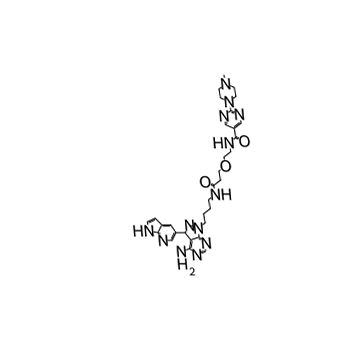 CN1CCN(c2ncc(C(=O)NCCOCCC(=O)NCCCCn3nc(-c4cnc5[nH]ccc5c4)c4c(N)ncnc43)cn2)CC1